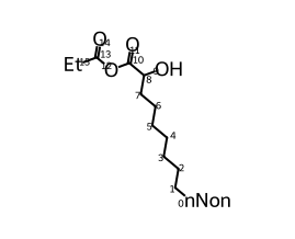 CCCCCCCCCCCCCCCCC(O)C(=O)OC(=O)CC